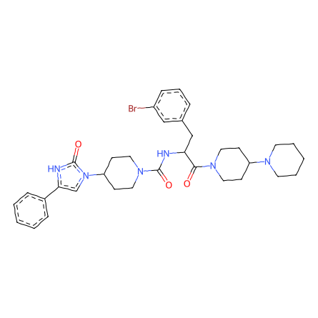 O=C(NC(Cc1cccc(Br)c1)C(=O)N1CCC(N2CCCCC2)CC1)N1CCC(n2cc(-c3ccccc3)[nH]c2=O)CC1